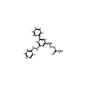 O=C(O)CCNc1cc(OCc2ccccc2)nc(-c2ccccn2)n1